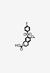 COc1cc2c(cc1S(=O)(=O)c1ccc(F)cc1)CN(C(=O)O)CC2